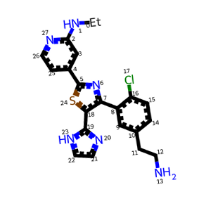 CCNc1cc(-c2nc(-c3cc(CCN)ccc3Cl)c(-c3ncc[nH]3)s2)ccn1